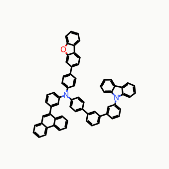 c1cc(-c2ccc(N(c3ccc(-c4ccc5c(c4)oc4ccccc45)cc3)c3cccc(-c4cc5ccccc5c5ccccc45)c3)cc2)cc(-c2cccc(-n3c4ccccc4c4ccccc43)c2)c1